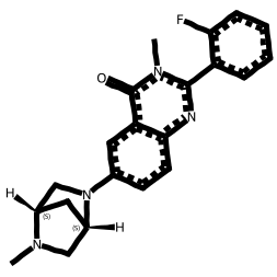 CN1C[C@@H]2C[C@H]1CN2c1ccc2nc(-c3ccccc3F)n(C)c(=O)c2c1